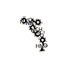 Cc1nc(Oc2ccc(C(=O)NC3CC3)cc2)ccc1CN1CCC(N2/C(=N/c3cccnc3)OC[C@H]2c2ccccc2)CC1